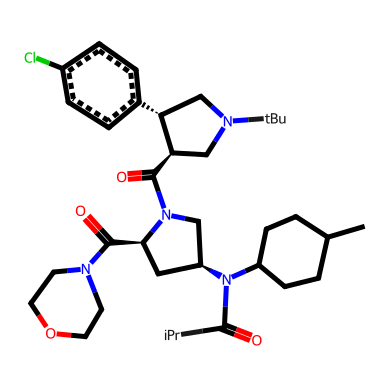 CC1CCC(N(C(=O)C(C)C)[C@H]2C[C@@H](C(=O)N3CCOCC3)N(C(=O)[C@@H]3CN(C(C)(C)C)C[C@H]3c3ccc(Cl)cc3)C2)CC1